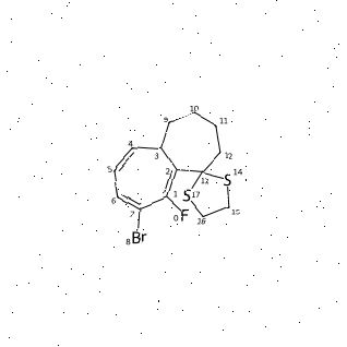 FC1=C2C(C=CC=C1Br)CCCCC21SCCS1